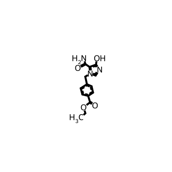 CCOC(=O)c1ccc(Cn2cnc(O)c2C(N)=O)cc1